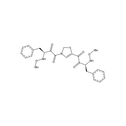 CC(C)(C)ON[C@@H](Cc1ccccc1)C(=O)C(=O)C1=CN(C(=O)C(=O)[C@H](Cc2ccccc2)NOC(C)(C)C)CS1